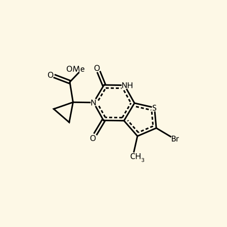 COC(=O)C1(n2c(=O)[nH]c3sc(Br)c(C)c3c2=O)CC1